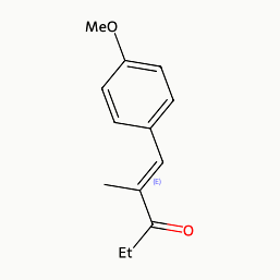 CCC(=O)/C(C)=C/c1ccc(OC)cc1